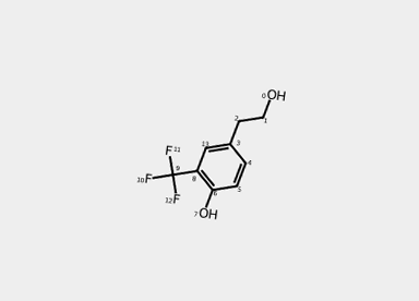 OCCc1ccc(O)c(C(F)(F)F)c1